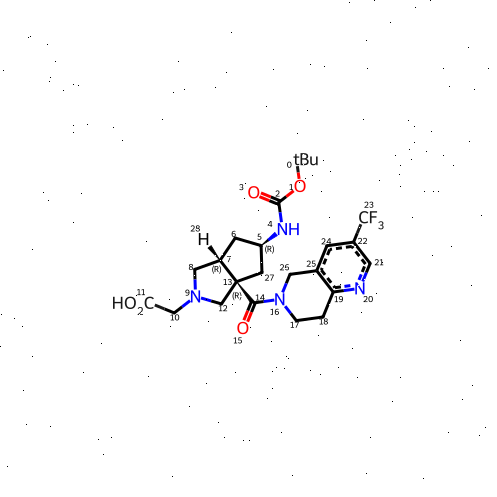 CC(C)(C)OC(=O)N[C@@H]1C[C@H]2CN(CC(=O)O)C[C@@]2(C(=O)N2CCc3ncc(C(F)(F)F)cc3C2)C1